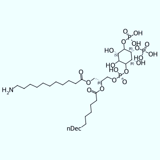 CCCCCCCCCCCCCCCC(=O)O[C@H](COC(=O)CCCCCCCCCCN)COP(=O)(O)OC1C(O)[C@H](O)C(OP(=O)(O)O)[C@H](OP(=O)(O)O)[C@@H]1O